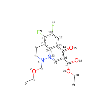 CCOCN1CCc2c(F)c(F)cc3c(=O)c(C(=O)OCC)cn1c23